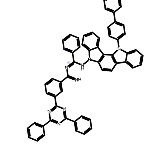 N=C(/N=C(\Nn1c2ccccc2c2c1ccc1c3ccccc3n(-c3ccc(-c4ccccc4)cc3)c12)c1ccccc1)c1cccc(-c2nc(-c3ccccc3)nc(-c3ccccc3)n2)c1